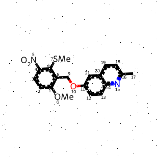 COc1ccc([N+](=O)[O-])c(SC)c1COc1ccc2nc(C)ccc2c1